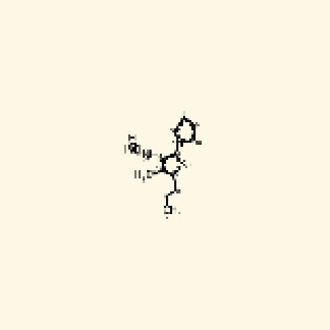 CCCc1sc(-n2cccc2)cc1C.Cl.Cl.N